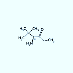 CCC(=O)[C@@H](N)C(C)(C)C